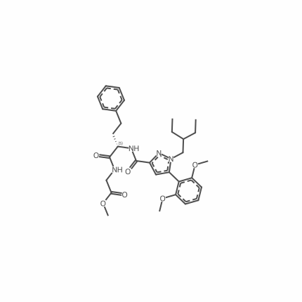 CCC(CC)Cn1nc(C(=O)N[C@@H](CCc2ccccc2)C(=O)NCC(=O)OC)cc1-c1c(OC)cccc1OC